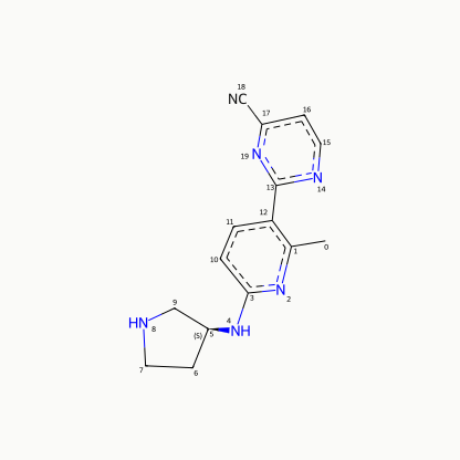 Cc1nc(N[C@H]2CCNC2)ccc1-c1nccc(C#N)n1